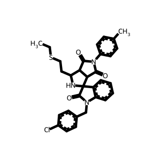 CCSCCC1NC2(C(=O)N(Cc3ccc(Cl)cc3)c3ccccc32)C2C(=O)N(c3ccc(C)cc3)C(=O)C12